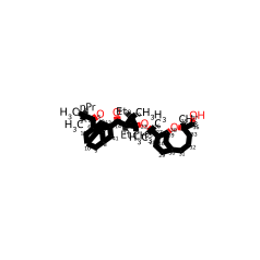 CCCC(C)(C)C(=O)C12CC3CC(C1)CC(C(=O)C1(CC)C(C)(CC)C1(C)OC(C)(C)C1CCC4CCCC(C)(CO)OC1C4)(C3)C2